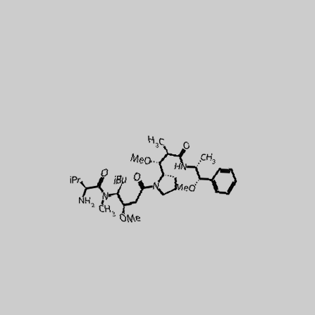 CC[C@H](C)[C@@H]([C@@H](CC(=O)N1CCC[C@H]1[C@H](OC)[C@@H](C)C(=O)N[C@H](C)[C@@H](OC)c1ccccc1)OC)N(C)C(=O)[C@@H](N)C(C)C